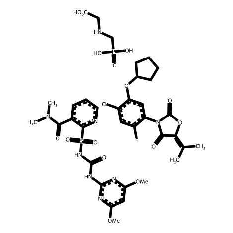 CC(C)=C1OC(=O)N(c2cc(OC3CCCC3)c(Cl)cc2F)C1=O.COc1cc(OC)nc(NC(=O)NS(=O)(=O)c2ncccc2C(=O)N(C)C)n1.O=C(O)CNCP(=O)(O)O